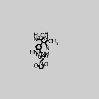 CC1=C(C#N)C(c2ccc3[nH]nc(NS(=O)(=O)CCN4C(=O)CCC4=O)c3c2)C(C#N)=C(C)N1